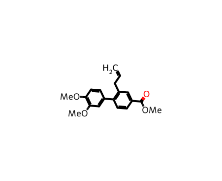 C=CCc1cc(C(=O)OC)ccc1-c1ccc(OC)c(OC)c1